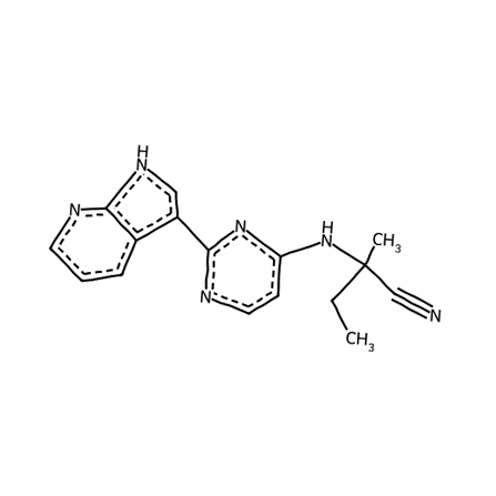 CCC(C)(C#N)Nc1ccnc(-c2c[nH]c3ncccc23)n1